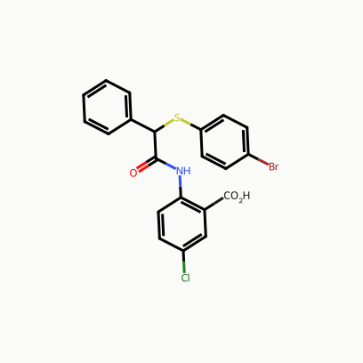 O=C(O)c1cc(Cl)ccc1NC(=O)C(Sc1ccc(Br)cc1)c1ccccc1